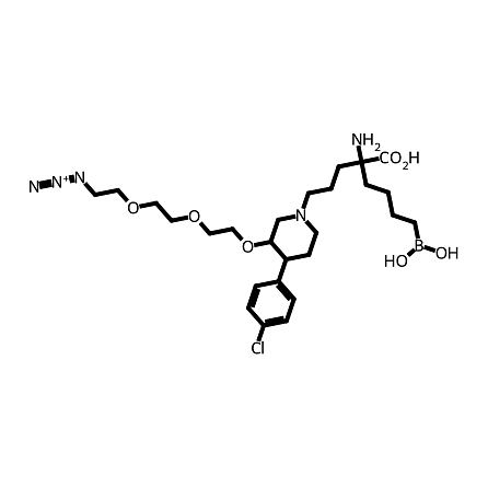 [N-]=[N+]=NCCOCCOCCOC1CN(CCCC(N)(CCCCB(O)O)C(=O)O)CCC1c1ccc(Cl)cc1